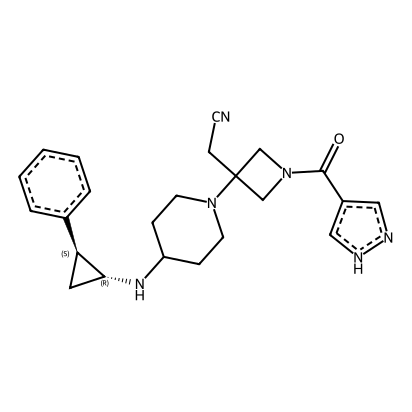 N#CCC1(N2CCC(N[C@@H]3C[C@H]3c3ccccc3)CC2)CN(C(=O)c2cn[nH]c2)C1